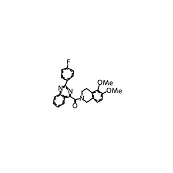 COc1ccc2c(c1OC)CCN(C(=O)c1nc(-c3ccc(F)cc3)nc3ccccc13)C2